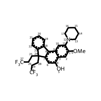 COc1cc2c(O)cc3c(c2cc1N1CCCCC1)-c1ccccc1C3(CCC(F)(F)F)CCC(F)(F)F